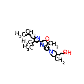 C=C/C(C)=C\Cc1cnc(C2=CC(=O)C(=C)CC(/C=C\C(=C/C)N3CCC(=C)C(CCCO)CC3)=N2)cc1C(=C)CC